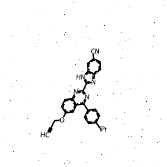 C#CCOc1ccc2nc(-c3nc4ccc(C#N)cc4[nH]3)nc(-c3ccc(C(C)C)cc3)c2c1